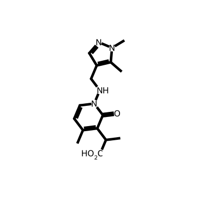 Cc1ccn(NCc2cnn(C)c2C)c(=O)c1C(C)C(=O)O